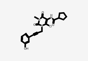 Cn1c(=O)c(NC(=O)C2CCCC2)c(Cl)n(CC#Cc2cccc(O)c2)c1=O